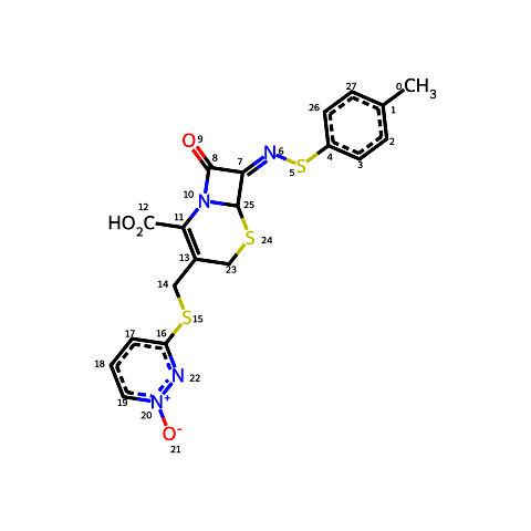 Cc1ccc(SN=C2C(=O)N3C(C(=O)O)=C(CSc4ccc[n+]([O-])n4)CSC23)cc1